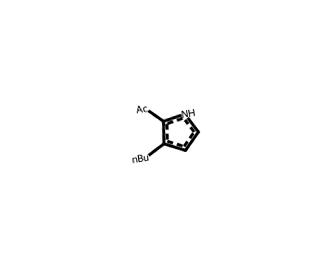 CCCCc1cc[nH]c1C(C)=O